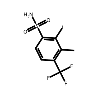 Cc1c(C(F)(F)F)ccc(S(N)(=O)=O)c1I